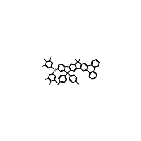 Cc1ccc(C2(c3ccc(C)cc3)c3cc(N(c4cc(C)c(C)c(C)c4)c4cc(C)c(C)c(C)c4)ccc3-c3cc4c(cc32)-c2cc3c5ccccc5c5ccccc5c3cc2C4(C)C)cc1